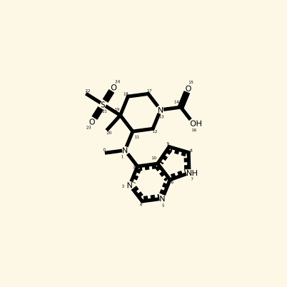 CN(c1ncnc2[nH]ccc12)C1CN(C(=O)O)CCC1(C)S(C)(=O)=O